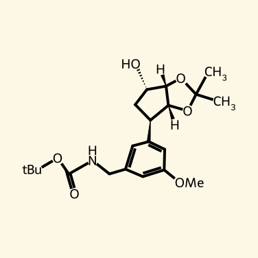 COc1cc(CNC(=O)OC(C)(C)C)cc([C@H]2C[C@H](O)[C@@H]3OC(C)(C)O[C@@H]32)c1